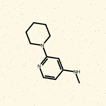 CNc1ccnc(N2CCCCC2)c1